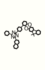 CC1(C)c2ccccc2-c2cc3c(cc21)Oc1c(cccc1-c1ccc(-c2nc(-c4ccccc4)nc(-c4ccc5ccccc5c4)n2)cc1)O3